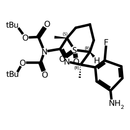 CC(C)(C)OC(=O)N(C(=O)OC(C)(C)C)C1=N[C@](C)(c2cc(N)ccc2F)[C@H]2CCC[C@]1(C)S2(=O)=O